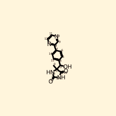 CC1(C(O)c2ccc(-c3cnccn3)cc2)NC(=O)NC1=O